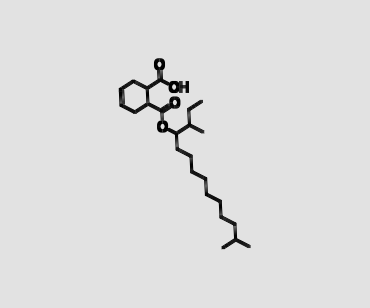 CCC(C)C(CCCCCCCCC(C)C)OC(=O)C1CC=CCC1C(=O)O